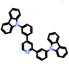 c1cc(-c2ccnc(-c3cccc(-n4c5ccccc5c5ccccc54)c3)c2)cc(-n2c3ccccc3c3ccccc32)c1